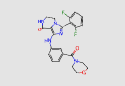 O=C1NCCn2c(-c3c(F)cccc3F)nc(Nc3cccc(C(=O)N4CCOCC4)c3)c21